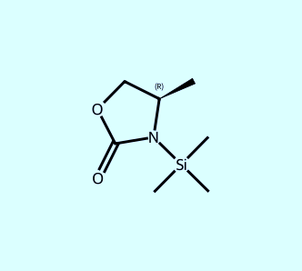 C[C@@H]1COC(=O)N1[Si](C)(C)C